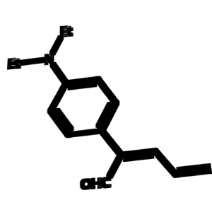 C=CC=C(C=O)c1ccc(N(CC)CC)cc1